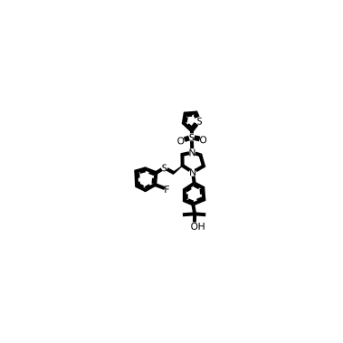 CC(C)(O)c1ccc(N2CCN(S(=O)(=O)c3cccs3)C[C@@H]2CSc2ccccc2F)cc1